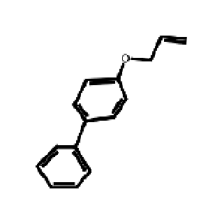 C=CCOc1ccc(-c2[c]cccc2)cc1